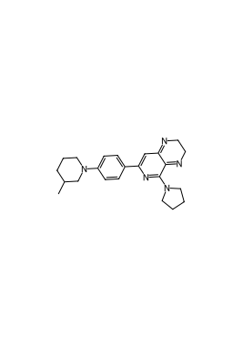 CC1CCCN(c2ccc(-c3cc4c(c(N5CCCC5)n3)=NCCN=4)cc2)C1